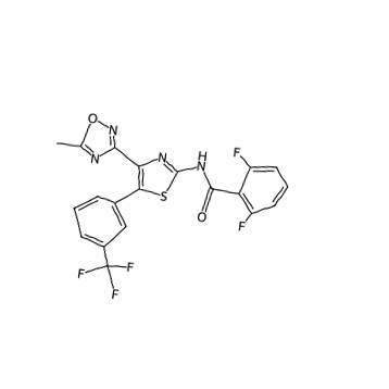 Cc1nc(-c2nc(NC(=O)c3c(F)cccc3F)sc2-c2cccc(C(F)(F)F)c2)no1